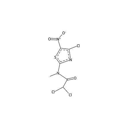 CN(C(=O)C(Cl)Cl)c1nc(Cl)c([N+](=O)[O-])s1